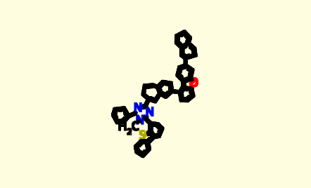 C=N/C(=N\C(=N/Cc1ccccc1)C1=Cc2cc(-c3cccc4oc5cc(-c6ccc7ccccc7c6)ccc5c34)ccc2C=CC1)c1cccc2c1sc1ccccc12